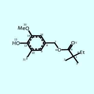 CCC(C)(C)C(=O)OCc1cc(I)c(O)c(OC)c1